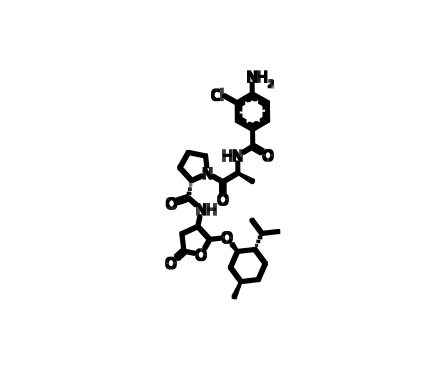 CC(C)[C@@H]1CC[C@@H](C)C[C@H]1OC1OC(=O)CC1NC(=O)[C@@H]1CCCN1C(=O)[C@H](C)NC(=O)c1ccc(N)c(Cl)c1